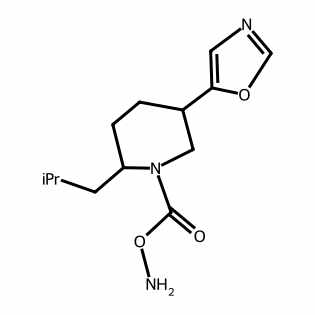 CC(C)CC1CCC(c2cnco2)CN1C(=O)ON